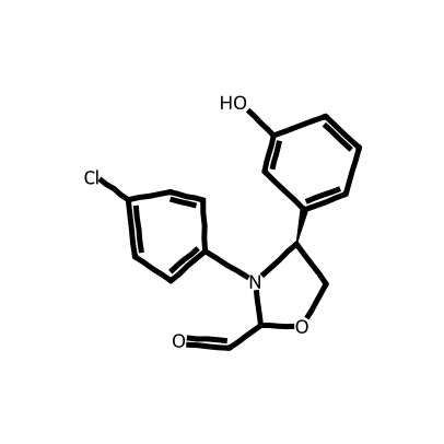 O=CC1OC[C@H](c2cccc(O)c2)N1c1ccc(Cl)cc1